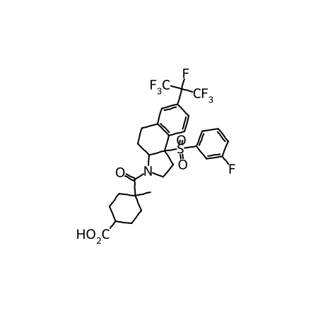 CC1(C(=O)N2CCC3(S(=O)(=O)c4cccc(F)c4)c4ccc(C(F)(C(F)(F)F)C(F)(F)F)cc4CCC23)CCC(C(=O)O)CC1